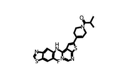 CC(C)C(=O)N1CC=C(c2cc3c(Nc4cc5ncsc5cc4F)ncnc3s2)CC1